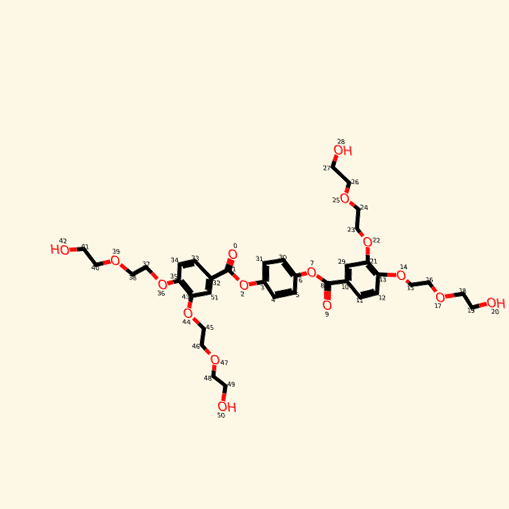 O=C(Oc1ccc(OC(=O)c2ccc(OCCOCCO)c(OCCOCCO)c2)cc1)c1ccc(OCCOCCO)c(OCCOCCO)c1